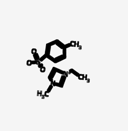 CC[n+]1ccn(C)c1.Cc1ccc(S(=O)(=O)[O-])cc1